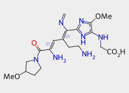 C=N/C(=C(\C=C(/N)C(=O)N1CCC(OC)C1)CCN)c1nc(OC)c(NCC(=O)O)[nH]1